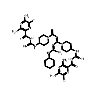 C=C(/N=C(\N=C(/N)NC1CCCCC1)N1CCC(NC(=N)NC(=O)c2nc(Cl)c(N)nc2N)CC1)N1CCC(NC(=N)NC(=O)c2nc(Cl)c(N)nc2N)CC1